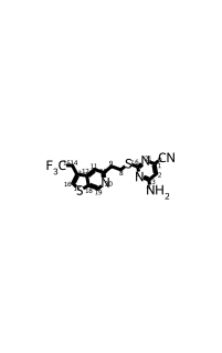 N#Cc1cc(N)nc(SCCc2cc3c(CC(F)(F)F)csc3cn2)n1